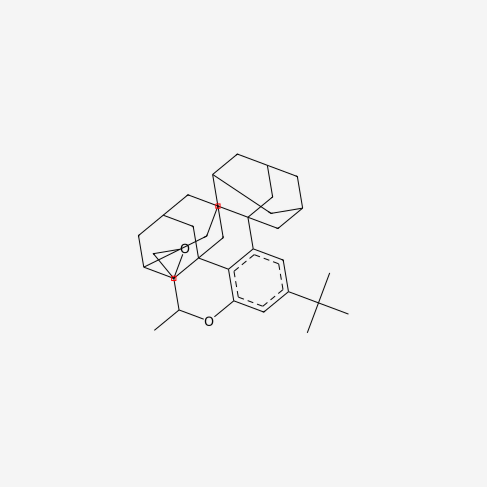 CC(Oc1cc(C(C)(C)C)cc(C23CC4CC(CC(C4)C2)C3)c1C12CC3CC(CC(C3)C1)C2)C1CO1